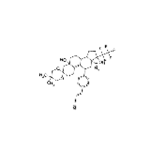 CC1(C)COC2(CCC3=C4C(CCC3(O)C2)C2CCC(O)(C(F)(F)C(F)(F)F)C2(C)C[C@@H]4c2ccc(C=CC#N)cc2)OC1